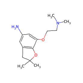 CN(C)CCOc1cc(N)cc2c1OC(C)(C)C2